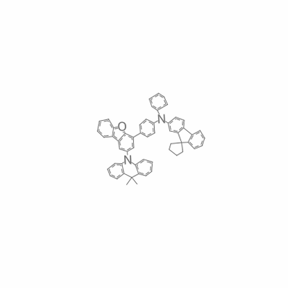 CC1(C)c2ccccc2N(c2cc(-c3ccc(N(c4ccccc4)c4ccc5c(c4)C4(CCCC4)c4ccccc4-5)cc3)c3oc4ccccc4c3c2)c2ccccc21